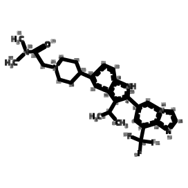 CC(C)c1c(-c2cc(C(F)(F)F)c3nccn3c2)[nH]c2ccc(C3CCN(CC(=O)N(C)C)CC3)cc12